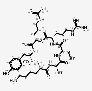 CC(C)C[C@H](NC(=O)[C@@H](NC(=O)[C@@H](N)CCCCN)C(C)C)C(=O)N[C@@H](CCCNC(=N)N)C(=O)N[C@@H](CCCNC(=N)N)C(=O)N[C@@H](Cc1ccc(O)cc1)C(=O)O